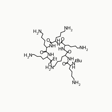 CCC(=O)C(CCCCN)NC(=O)C(CCCCN)NC(=O)C(CCCCN)NC(=O)C(CCCCN)NC(=O)C(CCCCN)NC(=O)C(CCCCN)NC(C)(C)C